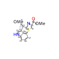 CO/C=C(\c1nc(C(=O)OC)cs1)c1c[nH]c2ccccc12